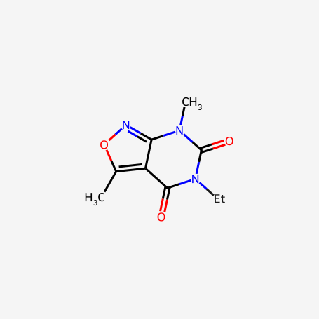 CCn1c(=O)c2c(C)onc2n(C)c1=O